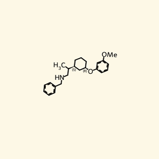 COc1cccc(O[C@@H]2CCC[C@H](C(C)CNCc3ccccc3)C2)c1